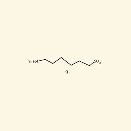 CCCCCCCCCCCCCS(=O)(=O)O.[KH]